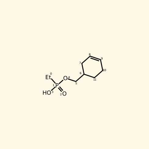 CCP(=O)(O)OCC1CC=CCC1